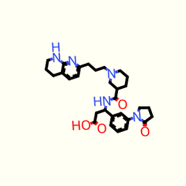 O=C(O)CC(NC(=O)C1CCCN(CCCc2ccc3c(n2)NCCC3)C1)c1cccc(N2CCCC2=O)c1